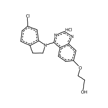 Cl.OCCOc1ccc2c(N3CCc4ccc(Cl)cc43)ncnc2c1